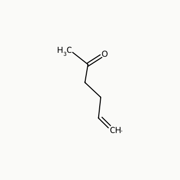 [CH]=CCCC(C)=O